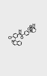 O=C(Nc1ccc(Cl)c(-c2nccc3ccccc23)c1)c1ccc(N2CCCNS2(=O)=O)cc1